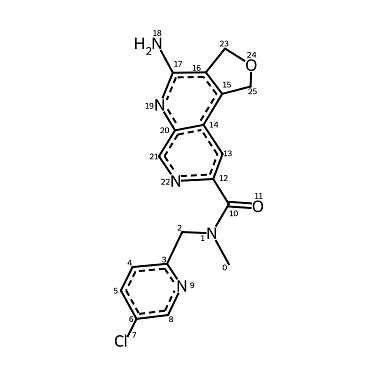 CN(Cc1ccc(Cl)cn1)C(=O)c1cc2c3c(c(N)nc2cn1)COC3